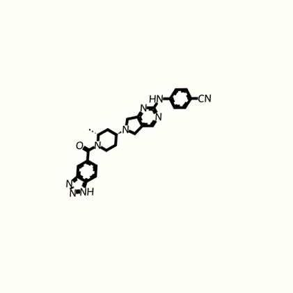 C[C@@H]1C[C@H](N2Cc3cnc(Nc4ccc(C#N)cc4)nc3C2)CCN1C(=O)c1ccc2[nH]nnc2c1